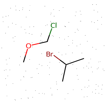 CC(C)Br.COCCl